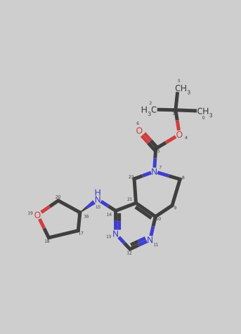 CC(C)(C)OC(=O)N1CCc2ncnc(N[C@H]3CCOC3)c2C1